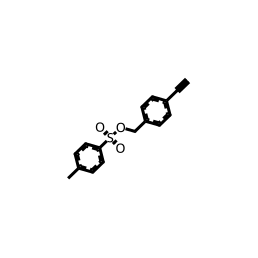 C#Cc1ccc(COS(=O)(=O)c2ccc(C)cc2)cc1